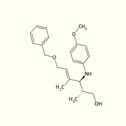 COc1ccc(N[C@H](C(C)=CCOCc2ccccc2)[C@@H](C)CO)cc1